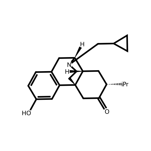 CC(C)[C@H]1C[C@H]2[C@H]3Cc4ccc(O)cc4[C@@]2(CCN3CC2CC2)CC1=O